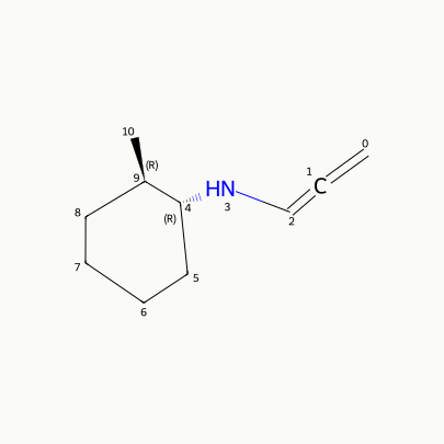 C=C=CN[C@@H]1CCCC[C@H]1C